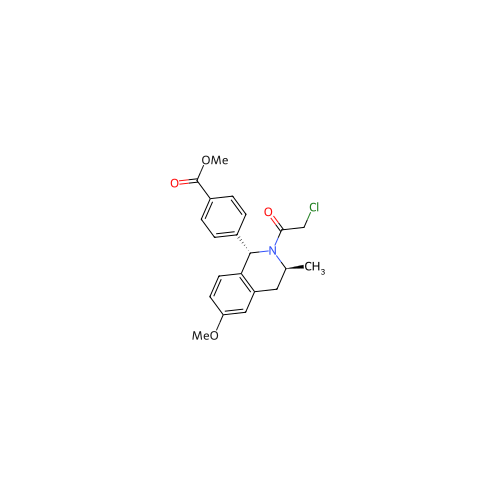 COC(=O)c1ccc([C@H]2c3ccc(OC)cc3C[C@H](C)N2C(=O)CCl)cc1